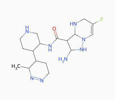 CC1N=NCCC1C1CCNCC1NC(=O)C1C(N)NN2C=C(F)CNC12